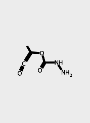 CC(=C=O)OC(=O)NN